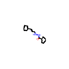 O=C(NNC/C=C/c1ccccc1)c1ccccc1